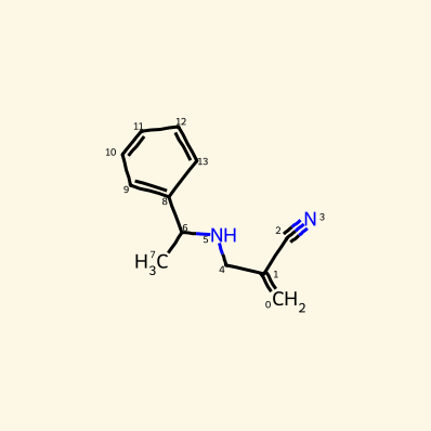 C=C(C#N)CNC(C)c1ccccc1